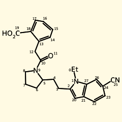 CCn1c(CCC2CCCN2C(=O)Cc2ccccc2C(=O)O)cc2ccc(C#N)cc21